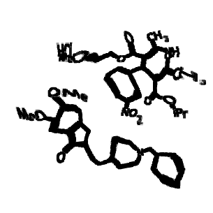 COCCOC(=O)C1=C(C)NC(C)=C(C(=O)OC(C)C)C1c1cccc([N+](=O)[O-])c1.COc1cc2c(cc1OC)C(=O)C(CC1CCN(Cc3ccccc3)CC1)C2.Cl